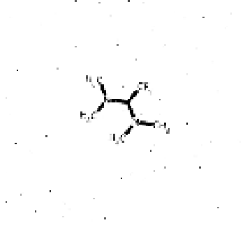 CN(C)C(N(C)C)C(F)(F)F